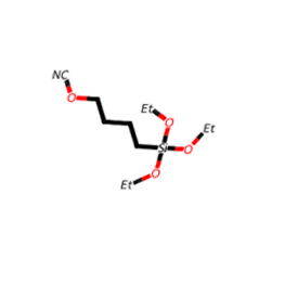 CCO[Si](CCCCOC#N)(OCC)OCC